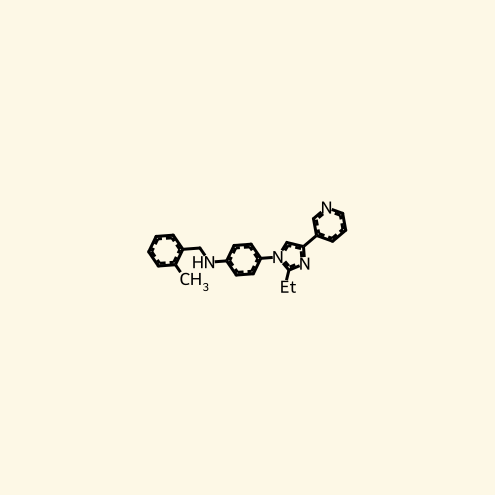 CCc1nc(-c2cccnc2)cn1-c1ccc(NCc2ccccc2C)cc1